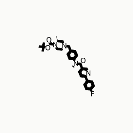 C[C@@H]1CN(Cc2ccc(N(C)C(=O)c3ccc(-c4ccc(F)cc4)nc3)cc2)CCN1C(=O)OC(C)(C)C